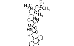 CN(CC1COc2c(S(=O)(=O)NC(=O)Nc3c4c(nc5c3CCC5)CCC4)cnn2C1)C(=O)OC(C)(C)C